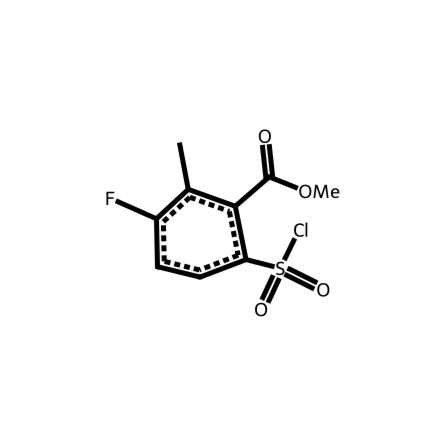 COC(=O)c1c(S(=O)(=O)Cl)ccc(F)c1C